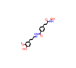 COc1cc(/C=C/C=N/NC(=O)c2ccc(/C=C/C(=O)NO)cc2)ccc1O